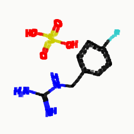 N=C(N)NCc1ccc(F)cc1.O=S(=O)(O)O